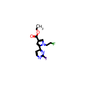 CCOC(=O)c1cc(-c2ccnc(I)n2)n(CCF)c1